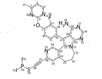 Cc1ccnc(Oc2ccc(-c3c4n(c5ncnc(N)c35)CCCc3cc(C#CSP(I)I)ncc3-4)cc2F)n1